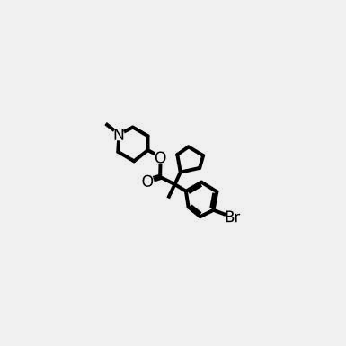 CN1CCC(OC(=O)C(C)(c2ccc(Br)cc2)C2CCCC2)CC1